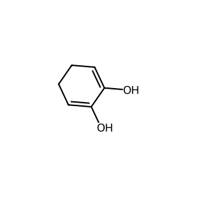 OC1=CCCC=C1O